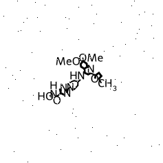 COc1cc2nc(-c3ccc(C)o3)cc(NCC3CCN(c4ncc(C(=O)NO)cn4)CC3)c2cc1OC